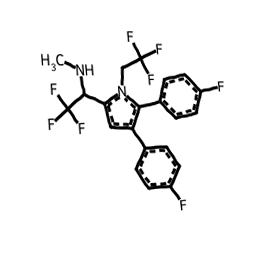 CNC(c1cc(-c2ccc(F)cc2)c(-c2ccc(F)cc2)n1CC(F)(F)F)C(F)(F)F